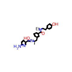 CCN(CCc1ccc(O)cc1)C(=O)c1cccc(C[C@@H](C)NC[C@@H](O)c2ccc(N)nc2)c1